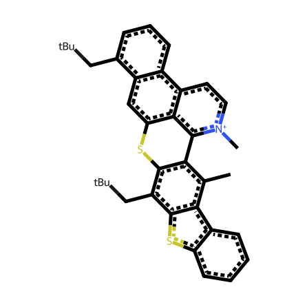 Cc1c2c(c(CC(C)(C)C)c3sc4ccccc4c13)Sc1cc3c(CC(C)(C)C)cccc3c3cc[n+](C)c-2c13